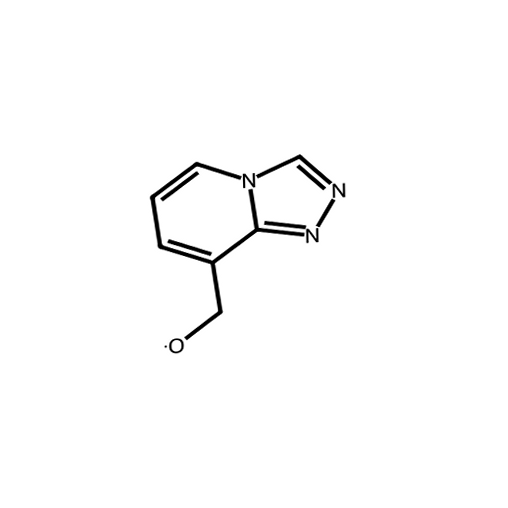 [O]Cc1cccn2cnnc12